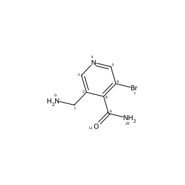 NCc1cncc(Br)c1C(N)=O